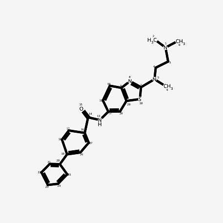 CN(C)CCN(C)c1nc2ccc(NC(=O)c3ccc(-c4ccccc4)cc3)cc2s1